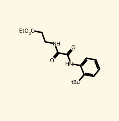 CCOC(=O)CCNC(=O)C(=O)Nc1ccccc1C(C)(C)C